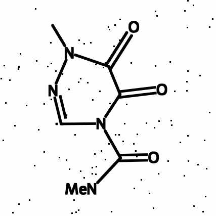 CNC(=O)n1[c]nn(C)c(=O)c1=O